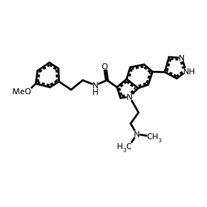 COc1cccc(CCNC(=O)c2cn(CCN(C)C)c3cc(-c4cn[nH]c4)ccc23)c1